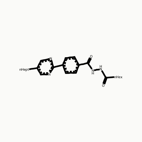 CCCCCCCc1cnc(-c2ccc(C(=O)NNC(=O)CCCCCC)cc2)nc1